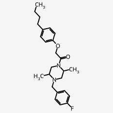 CCCCc1ccc(OCC(=O)N2CC(C)N(Cc3ccc(F)cc3)CC2C)cc1